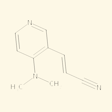 CN(C)c1ccncc1C=CC#N